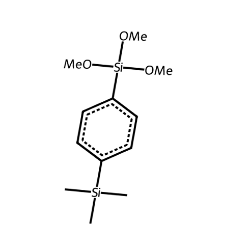 CO[Si](OC)(OC)c1ccc([Si](C)(C)C)cc1